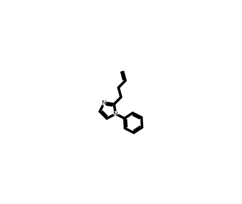 C=CCCc1nccn1-c1ccccc1